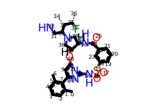 Cc1cccc(C)c1-c1cc2nc(n1)NS(=O)(=O)c1cccc(c1)C(=O)N[C@@H]1CN(C(C=N)[C@H](C)[C@H](C)F)C[C@H]1O2